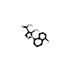 CC(=O)c1cnn(-c2cccc3c(F)cccc23)c1C